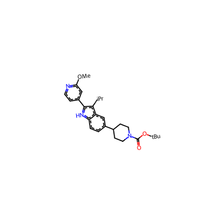 COc1cc(-c2[nH]c3ccc(C4CCN(C(=O)OC(C)(C)C)CC4)cc3c2C(C)C)ccn1